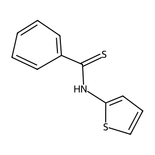 S=C(Nc1cccs1)c1ccccc1